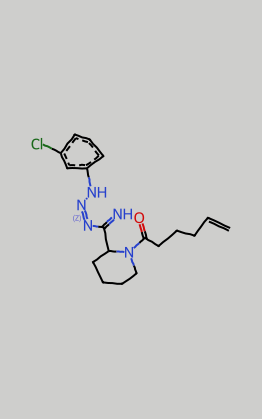 C=CCCCC(=O)N1CCCCC1C(=N)/N=N\Nc1cccc(Cl)c1